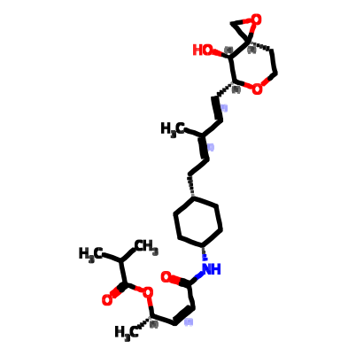 CC(/C=C/[C@H]1OCC[C@@]2(CO2)[C@@H]1O)=C\C[C@H]1CC[C@@H](NC(=O)/C=C\[C@H](C)OC(=O)C(C)C)CC1